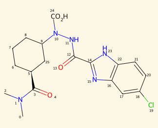 CN(C)C(=O)[C@H]1CCCC(N(NC(=O)c2nc3cc(Cl)ccc3[nH]2)C(=O)O)C1